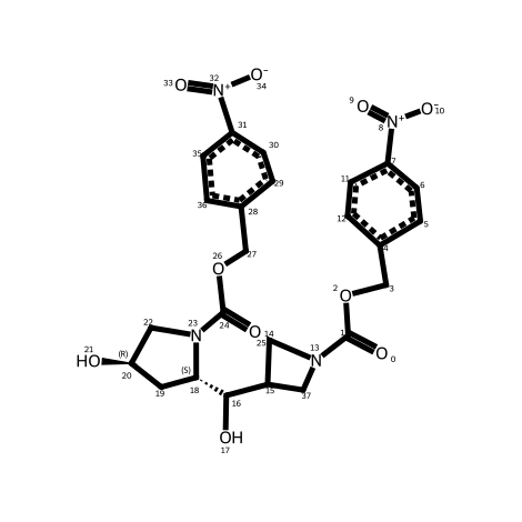 O=C(OCc1ccc([N+](=O)[O-])cc1)N1CC(C(O)[C@@H]2C[C@@H](O)CN2C(=O)OCc2ccc([N+](=O)[O-])cc2)C1